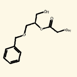 CCCCCCCCCCCC(=O)OC(CO)COCc1ccccc1